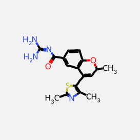 Cc1nc(C)c(C2=CC(C)Oc3ccc(C(=O)N=C(N)N)cc32)s1